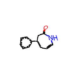 O=C1CC(c2ccccc2)=CC=CN1